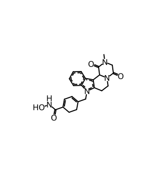 CN1CC(=O)N2CCc3c(c4ccccc4n3CC3=CC=C(C(=O)NO)CC3)C2C1=O